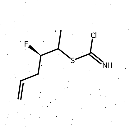 C=CC[C@@H](F)C(C)SC(=N)Cl